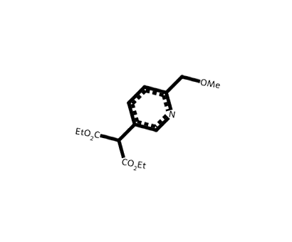 CCOC(=O)C(C(=O)OCC)c1ccc(COC)nc1